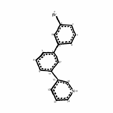 Brc1cccc(-c2cccc(-c3cccnc3)c2)c1